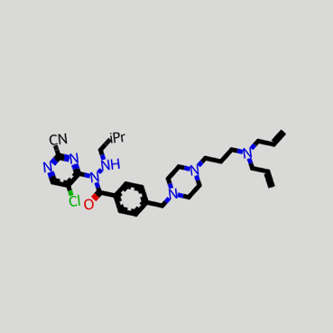 C=CCN(CC=C)CCCN1CCN(Cc2ccc(C(=O)N(NCC(C)C)c3nc(C#N)ncc3Cl)cc2)CC1